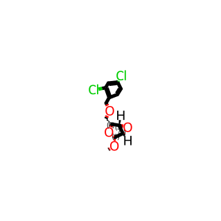 CO[C@H]1O[C@H](COCc2ccc(Cl)cc2Cl)[C@@H]2O[C@H]12